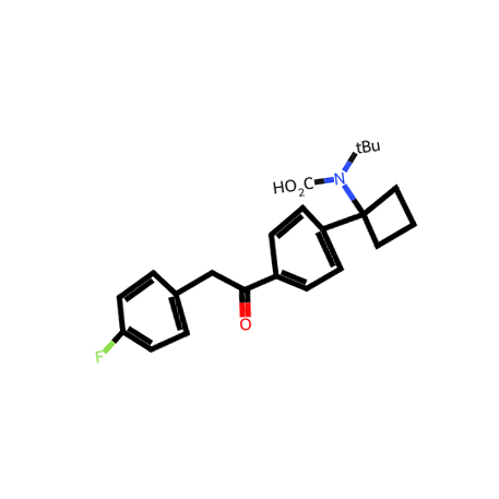 CC(C)(C)N(C(=O)O)C1(c2ccc(C(=O)Cc3ccc(F)cc3)cc2)CCC1